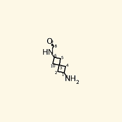 NC1CC2(C1)CC(NC=O)C2